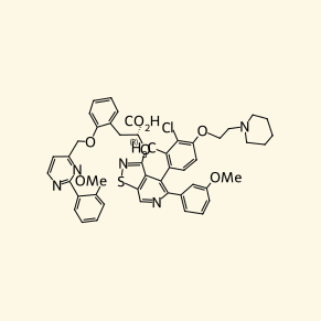 COc1cccc(-c2ncc3snc(O[C@H](Cc4ccccc4OCc4ccnc(-c5ccccc5OC)n4)C(=O)O)c3c2-c2ccc(OCCN3CCCCC3)c(Cl)c2C)c1